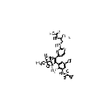 Cc1c(NS(=O)(=O)C2CC2)cc(Cl)cc1-c1nc(C(C)(C)C)[nH]c1-c1ccnc(NCC(C)NC(=O)O)n1